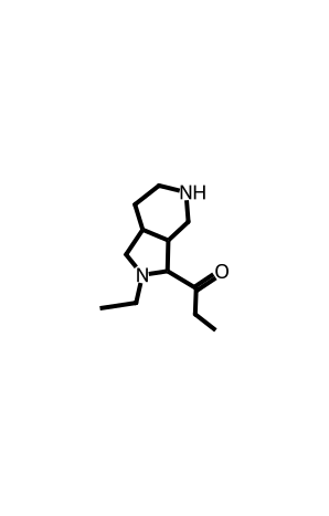 CCC(=O)C1C2CNCCC2CN1CC